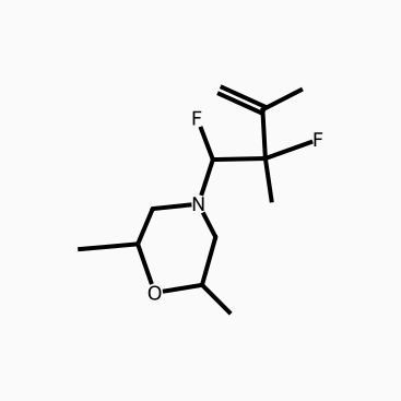 C=C(C)C(C)(F)C(F)N1CC(C)OC(C)C1